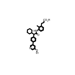 CCOc1cncc(-c2ccc(C(C(=O)Nc3cccc(CCC(=O)O)c3C)C3CCCCC3)cc2)c1